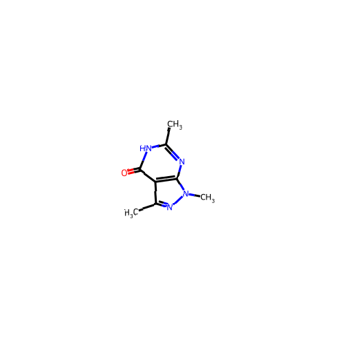 Cc1nc2c(c(C)nn2C)c(=O)[nH]1